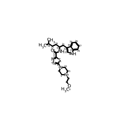 COCCN1CCN(c2nnc(C(=O)NC(CCC(C)C)Cc3c[nH]c4ccccc34)s2)CC1